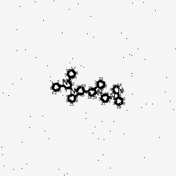 c1ccc(-c2cc(-n3c4ccccc4c4cc(-c5ccc6c(c5)c5ccccc5n6-c5cccc(-n6c7ccccc7c7ncccc76)c5)ccc43)cc(-c3ccccc3)n2)cc1